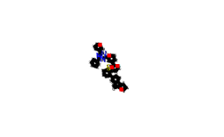 CC1(C)c2ccccc2-c2ccc(-c3cccc4sc5c(-c6cccc(-c7nc(-c8ccccc8)nc(-c8ccccc8)n7)c6)cccc5c34)cc21